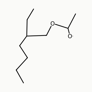 CCCCC(CC)COC(C)[O]